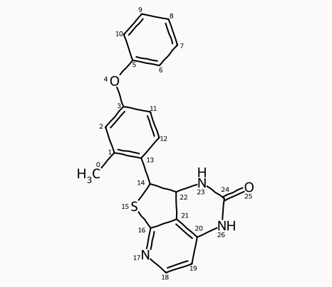 Cc1cc(Oc2ccccc2)ccc1C1Sc2nccc3c2C1NC(=O)N3